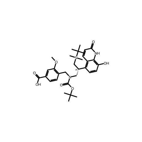 COc1cc(C(=O)O)ccc1CN(C[C@H](C[Si](C)(C)C(C)(C)C)c1ccc(O)c2[nH]c(=O)ccc12)C(=O)OC(C)(C)C